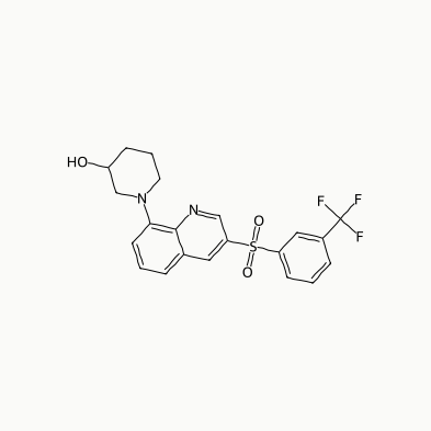 O=S(=O)(c1cccc(C(F)(F)F)c1)c1cnc2c(N3CCCC(O)C3)cccc2c1